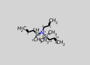 C=CCN([SiH](C)CC=C)[Si](C)(C)CC=C